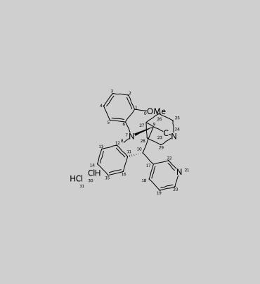 COc1ccccc1N(C)[C@]1([C@@H](c2ccccc2)c2cccnc2)CN2CCC1CC2.Cl.Cl